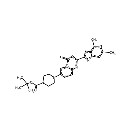 Cc1cn2nc(-c3cc(=O)n4cc(N5CCN(C(=O)OC(C)(C)C)CC5)ccc4n3)cc2c(C)n1